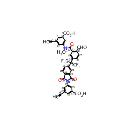 C#Cc1cc(C(=O)O)cc(N(C)C(=O)c2cc(C(c3ccc4c(c3)C(=O)N(c3cc(C#C)cc(C(=O)O)c3)C4=O)(C(F)(F)F)C(F)(F)F)ccc2C=O)c1